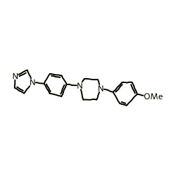 COc1ccc(N2CCN(c3ccc(-n4ccnc4)cc3)CC2)cc1